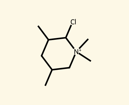 CC1CC(C)C(Cl)[N+](C)(C)C1